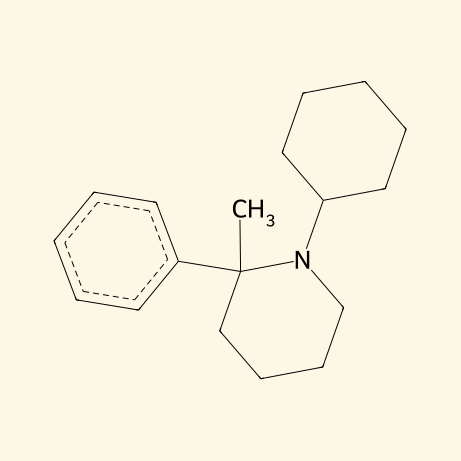 CC1(c2ccccc2)CCCCN1C1CCCCC1